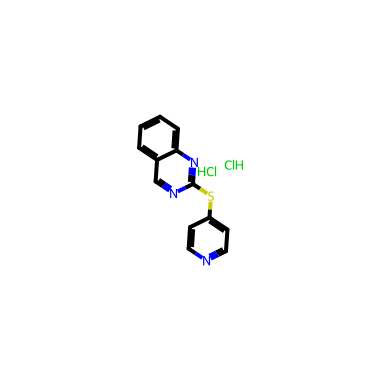 Cl.Cl.c1ccc2nc(Sc3ccncc3)ncc2c1